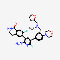 CN(Cc1cc(-c2cc(-c3cc4c(cc3F)C(=O)NCC4)c(N)nc2F)ccc1N1CCOCC1)CC1CCCO1